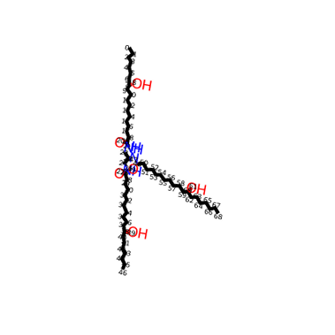 CCCCCCCC(O)CCCCCCCCCCC(=O)NCC(CNC(=O)CCCCCCCCCCC(O)CCCCCCC)NC(=O)CCCCCCCCCCC(O)CCCCCCC